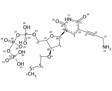 CSSCO[C@@H]1C[C@H](n2cc(C#CCN)c(=O)[nH]c2=O)OC1COP(=O)(O)OP(=O)(O)OP(=O)(O)O